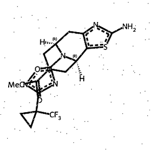 COC(=O)N1C[C@H]2Cc3nc(N)sc3[C@@H](C1)N2c1nc(C2(C(F)(F)F)CC2)no1